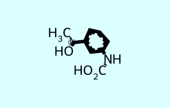 C[C@@H](O)c1cccc(NC(=O)O)c1